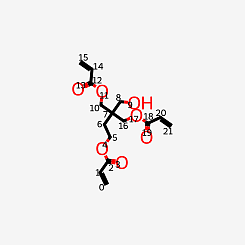 C=CC(=O)OCCC(CO)(COC(=O)C=C)COC(=O)C=C